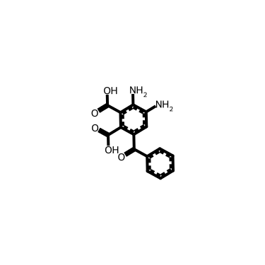 Nc1cc(C(=O)c2ccccc2)c(C(=O)O)c(C(=O)O)c1N